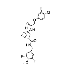 COc1c(F)cc(CNC(=O)C2C[C@H](NC(=O)COc3ccc(Cl)c(F)c3)C3CC2C3)cc1F